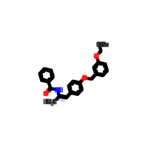 COCOc1cccc(COc2ccc(/C=C(\NC(=O)c3ccccc3)C(=O)O)cc2)c1